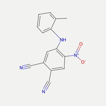 Cc1ccccc1Nc1cc(C#N)c(C#N)cc1[N+](=O)[O-]